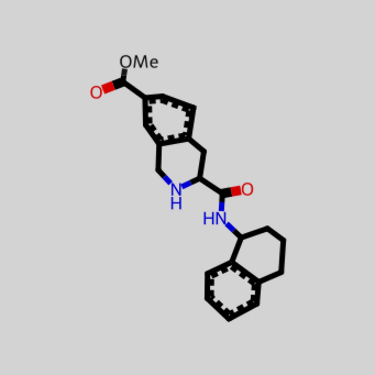 COC(=O)c1ccc2c(c1)CNC(C(=O)NC1CCCc3ccccc31)C2